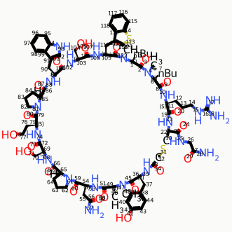 CCCC[C@H]1C(=O)N(C)[C@@H](CCCC)C(=O)N[C@@H](CCCNC(=N)N)C(=O)NC(C(=O)NCC(N)=O)CSCC(=O)N[C@@H](Cc2ccc(O)cc2)C(=O)N(C)[C@@H](C)C(=O)N[C@@H](CC(N)=O)C(=O)N2CCC[C@H]2C(=O)N[C@@H](CO)C(=O)N[C@@H](CCO)C(=O)N2CCC[C@H]2C(=O)N[C@@H](Cc2c[nH]c3ccccc23)C(=O)N[C@@H](CO)C(=O)N[C@@H](Cc2csc3ccccc23)C(=O)N1C